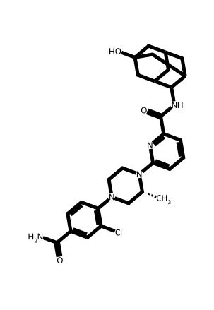 C[C@@H]1CN(c2ccc(C(N)=O)cc2Cl)CCN1c1cccc(C(=O)NC2C3CC4CC2CC(O)(C4)C3)n1